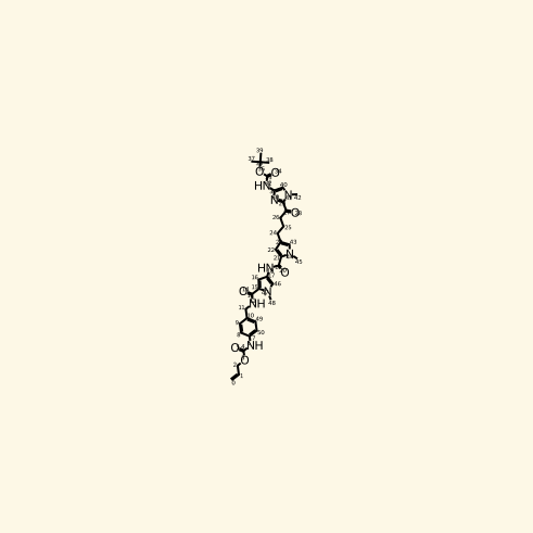 C=CCOC(=O)Nc1ccc(CNC(=O)c2cc(NC(=O)c3cc(CCCC(=O)c4nc(NC(=O)OC(C)(C)C)cn4C)cn3C)cn2C)cc1